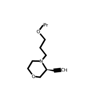 C#C[C@H]1COCCN1CCCOC(C)C